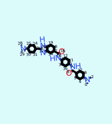 CN(C)c1ccc(C(=O)Nc2ccc(NC(=O)c3ccc4[nH]c(-c5ccc(N(C)C)cc5)nc4c3)cc2)cc1